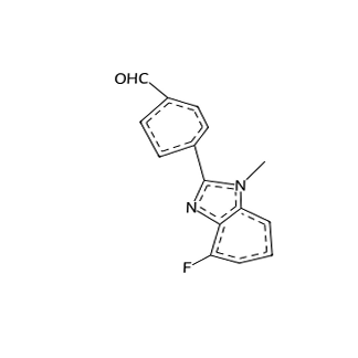 Cn1c(-c2ccc(C=O)cc2)nc2c(F)cccc21